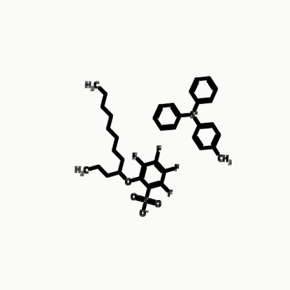 CCCCCCCCC(CCC)Oc1c(F)c(F)c(F)c(F)c1S(=O)(=O)[O-].Cc1ccc([S+](c2ccccc2)c2ccccc2)cc1